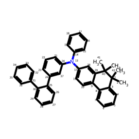 CC1(C)c2ccccc2-c2ccc(N(c3ccccc3)c3cccc(-c4ccccc4-c4ccccc4)c3)cc2C1(C)C